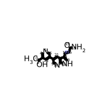 CC(O)c1cncc(-c2cnc3[nH]cc(/C=C/C(N)=O)c3c2)c1